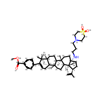 C=C(C)[C@@H]1CC[C@]2(NCCCN3CCS(=O)(=O)CC3)CC[C@]3(C)[C@H](CC[C@@H]4[C@@]5(C)CC=C(c6ccc(C(=O)OC)cc6)C(C)(C)[C@@H]5CC[C@]43C)[C@@H]12